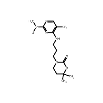 C[S+]([O-])c1ncc(C(F)(F)F)c(NCCCN2CCC(C)(C)OC2=O)n1